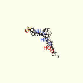 COc1cc([S+](C)[O-])ccc1NCC#Cc1cc2c(NC3CCN(CC(O)COCC(F)(F)F)CC3)cccc2n1CC(F)(F)F